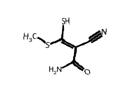 CS/C(S)=C(/C#N)C(N)=O